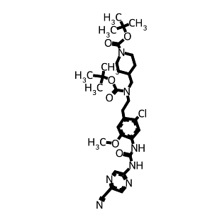 COc1cc(CCN(CC2CCN(C(=O)OC(C)(C)C)CC2)C(=O)OC(C)(C)C)c(Cl)cc1NC(=O)Nc1cnc(C#N)cn1